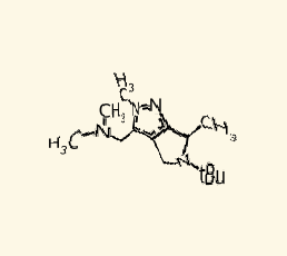 C[C@@H]1c2nn(C)c(CN(C)C)c2CN1C(C)(C)C